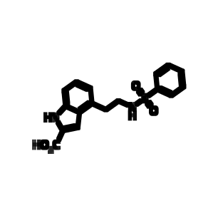 O=C(O)c1cc2c(CCNS(=O)(=O)c3ccccc3)cccc2[nH]1